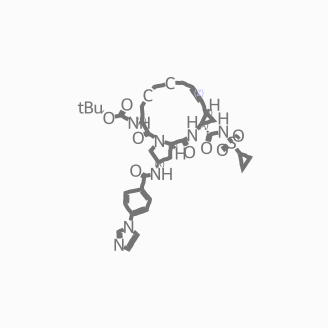 CC(C)(C)OC(=O)N[C@H]1CCCCC/C=C\[C@@H]2C[C@@]2(C(=O)NS(=O)(=O)C2CC2)NC(=O)[C@@H]2C[C@@H](NC(=O)c3ccc(-n4ccnc4)cc3)CN2C1=O